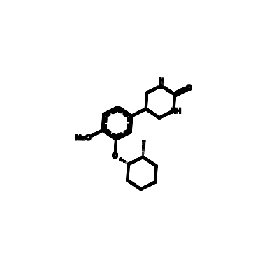 COc1ccc(C2CNC(=O)NC2)cc1O[C@H]1CCCC[C@H]1C